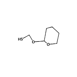 SCOC1CCCCO1